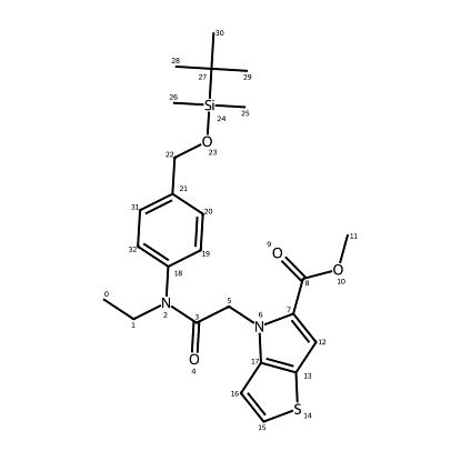 CCN(C(=O)Cn1c(C(=O)OC)cc2sccc21)c1ccc(CO[Si](C)(C)C(C)(C)C)cc1